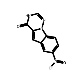 O=c1[nH]cnn2c1cc1cc([N+](=O)[O-])ccc12